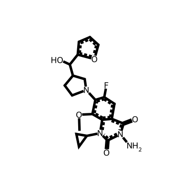 COc1c(N2CCC(C(O)c3ccco3)C2)c(F)cc2c(=O)n(N)c(=O)n(C3CC3)c12